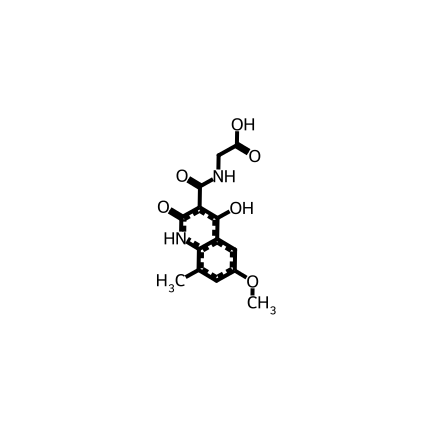 COc1cc(C)c2[nH]c(=O)c(C(=O)NCC(=O)O)c(O)c2c1